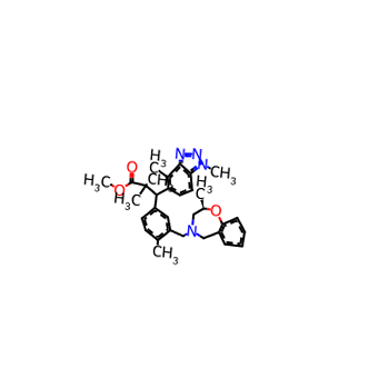 COC(=O)C(C)(C)C(c1ccc(C)c(CN2Cc3ccccc3O[C@H](C)C2)c1)c1ccc2c(nnn2C)c1C